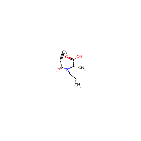 C#CC(=O)N(CCC)[C@@H](C)C(=O)O